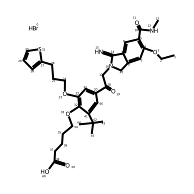 Br.CCOc1cc2c(cc1C(=O)NC)C(=N)N(CC(=O)c1cc(OCCCc3cccs3)c(OCCCCC(=O)O)c(C(C)(C)C)c1)C2